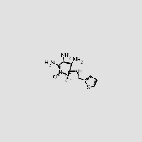 Nc1c(N)c(NCc2cccs2)[n+]([O-])[n+]([O-])c1N